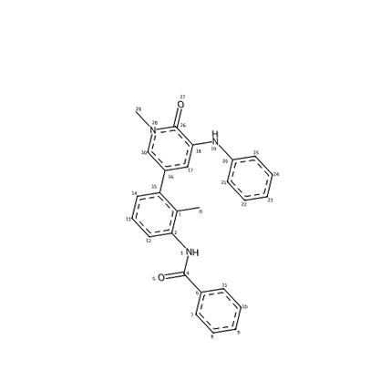 Cc1c(NC(=O)c2ccccc2)cccc1-c1cc(Nc2ccccc2)c(=O)n(C)c1